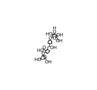 O=C(O)c1c(CC(O)c2ccc(O[C@@H]3O[C@H](CO)[C@@H](O)[C@H](O)[C@H]3O)cc2)cccc1O[C@H]1CC(O)C[C@@H](CO)O1